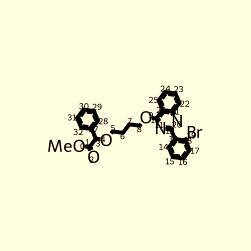 COC(=O)C(OCCCCOc1nc(-c2ccccc2Br)nc2ccccc12)c1ccccc1